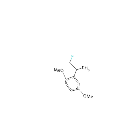 COc1ccc(OC)c([C](C)CF)c1